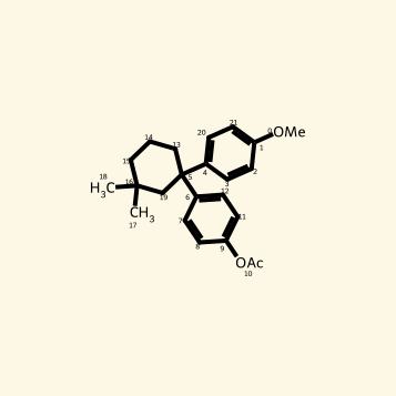 COc1ccc(C2(c3ccc(OC(C)=O)cc3)CCCC(C)(C)C2)cc1